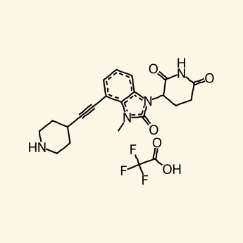 Cn1c(=O)n(C2CCC(=O)NC2=O)c2cccc(C#CC3CCNCC3)c21.O=C(O)C(F)(F)F